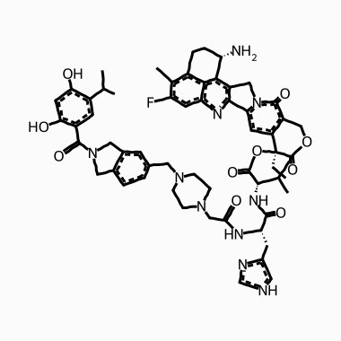 CC[C@@]1(OC(=O)[C@@H](NC(=O)[C@H](Cc2c[nH]cn2)NC(=O)CN2CCN(Cc3ccc4c(c3)CN(C(=O)c3cc(C(C)C)c(O)cc3O)C4)CC2)C(C)C)C(=O)OCc2c1cc1n(c2=O)Cc2c-1nc1cc(F)c(C)c3c1c2[C@@H](N)CC3